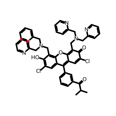 CC(C)C(=O)c1cccc(-c2c3cc(Cl)c(=O)c(CN(Cc4ccccn4)Cc4ccccn4)c-3oc3c(CN(Cc4ccccn4)Cc4ccccn4)c(O)c(Cl)cc23)c1